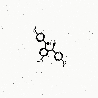 COc1ccc(Nc2ccc(OC)cc2C(C#N)c2ccc(OC)cc2)cc1